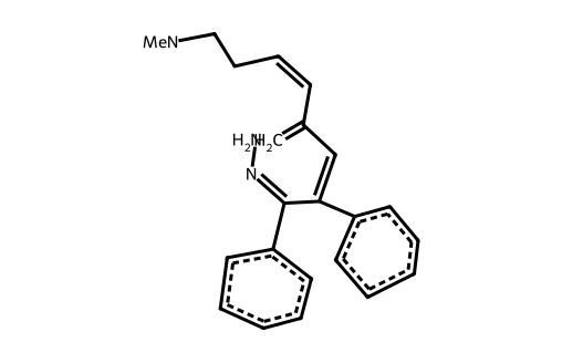 C=C(/C=C\CCNC)/C=C(\C(=N/N)c1ccccc1)c1ccccc1